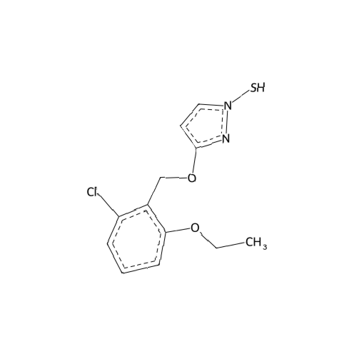 CCOc1cccc(Cl)c1COc1ccn(S)n1